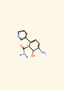 CN(C)C(=O)[C@H]1C(c2cccnc2)=CC=C(N)C1O